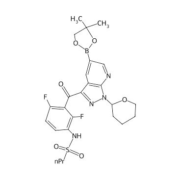 CCCS(=O)(=O)Nc1ccc(F)c(C(=O)c2nn(C3CCCCO3)c3ncc(B4OCC(C)(C)O4)cc23)c1F